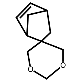 C1=CC2CC1CC21COCOC1